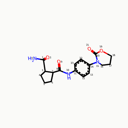 NC(=O)C1CCCC1C(=O)Nc1ccc(N2CCCOC2=O)cc1